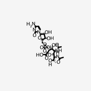 CC(=O)N[C@H]([C@@H]1O[C@](OP(=O)(O)OC[C@H]2O[C@@H](n3ccc(N)nc3=O)[C@H](O)[C@@H]2O)(C(=O)O)C[C@H](O)[C@H]1NC(C)=O)[C@H](C)O